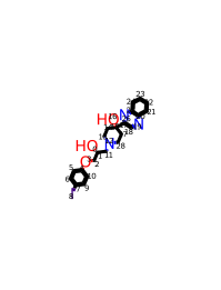 O[C@H](COc1ccc(I)cc1)CN1CCC(O)(c2cnc3ccccc3n2)CC1